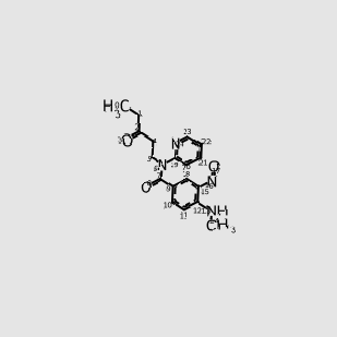 CCC(=O)CCN(C(=O)c1ccc(NC)c(N=O)c1)c1ccccn1